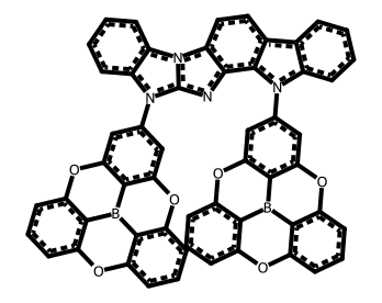 c1cc2c3c(c1)Oc1cc(-n4c5ccccc5c5ccc6c(nc7n(-c8cc9c%10c(c8)Oc8cccc%11c8B%10c8c(cccc8O9)O%11)c8ccccc8n67)c54)cc4c1B3c1c(cccc1O4)O2